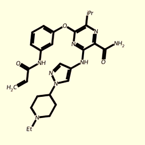 C=CC(=O)Nc1cccc(Oc2nc(Nc3cnn(C4CCN(CC)CC4)c3)c(C(N)=O)nc2C(C)C)c1